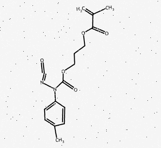 C=C(C)C(=O)OCCCOC(=O)N(N=C=O)c1ccc(C)cc1